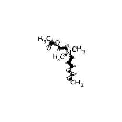 COSOCCC[N+](C)(C)CCOC(C)=O